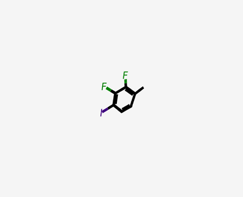 Cc1ccc(I)c(F)c1F